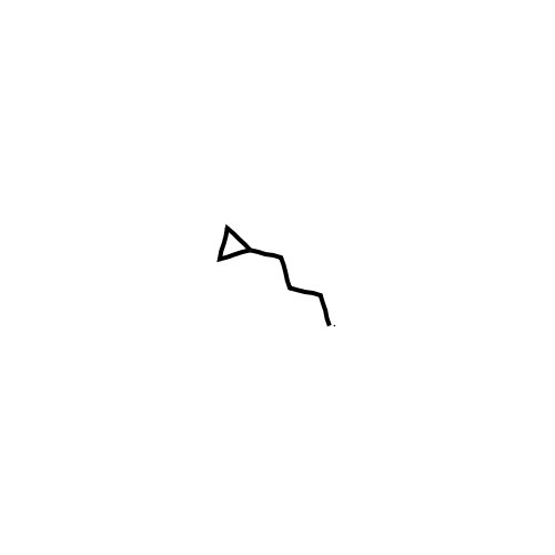 [CH2]CCCC1CC1